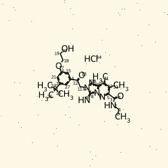 CCNC(=O)c1nn2c(=N)n(CC(=O)c3cc(OCCO)cc(C(C)(C)C)c3)nc2c(C)c1C.Cl